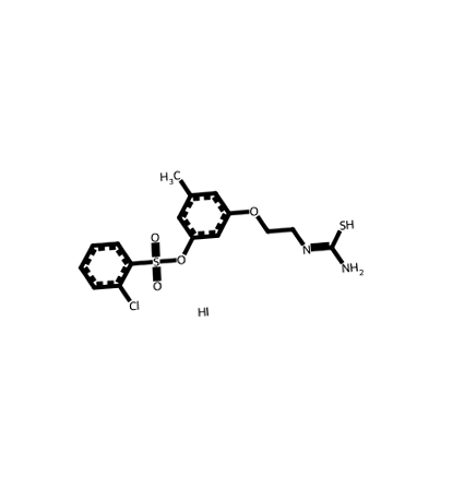 Cc1cc(OCCN=C(N)S)cc(OS(=O)(=O)c2ccccc2Cl)c1.I